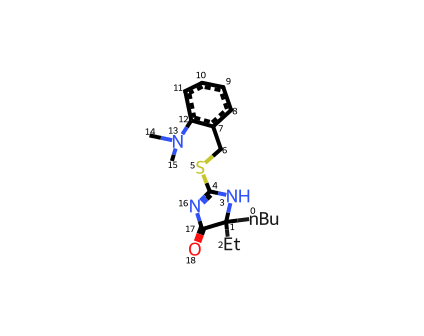 CCCCC1(CC)NC(SCc2ccccc2N(C)C)=NC1=O